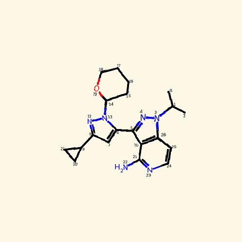 CC(C)n1nc(-c2cc(C3CC3)nn2C2CCCCO2)c2c(N)nccc21